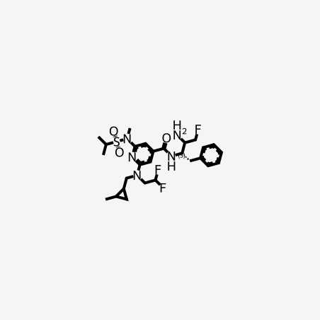 CC1CC1CN(CC(F)F)c1cc(C(=O)N[C@@H](Cc2ccccc2)C(N)CF)cc(N(C)S(=O)(=O)C(C)C)n1